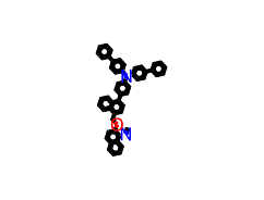 C=Nc1c(OCc2ccc(-c3ccc(N(c4ccc(-c5ccccc5)cc4)c4ccc(-c5ccccc5)cc4)cc3)c3ccccc23)ccc2ccccc12